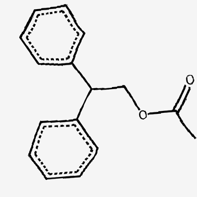 CC(=O)OCC(c1ccccc1)c1ccccc1